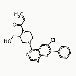 C=CC(=O)N1CCN(c2ncnc3cc(-c4ccccc4)c(Cl)cc23)CC1CO